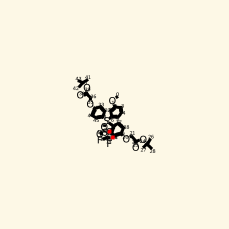 COc1cccc(S(OS(=O)(=O)C(F)(F)F)(c2ccc(OCC(=O)OC(C)(C)C)cc2)c2ccc(OCC(=O)OC(C)(C)C)cc2)c1